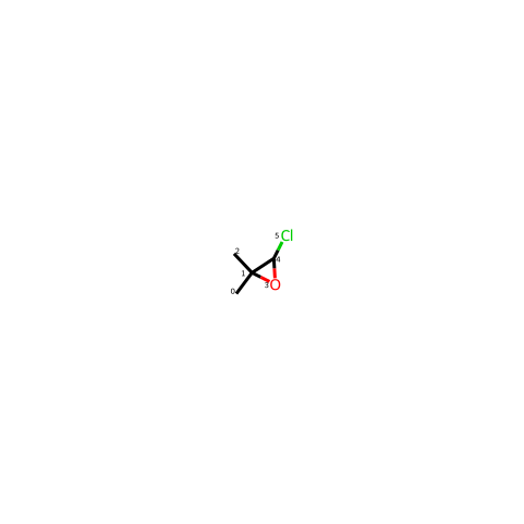 CC1(C)OC1Cl